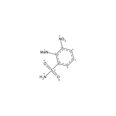 CNc1c([N+](=O)[O-])cccc1S(N)(=O)=O